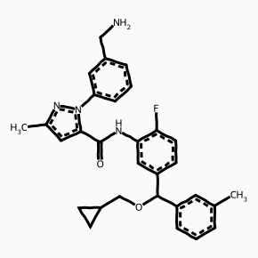 Cc1cccc(C(OCC2CC2)c2ccc(F)c(NC(=O)c3cc(C)nn3-c3cccc(CN)c3)c2)c1